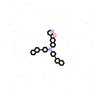 c1ccc2cc(-c3ccc(N(c4ccc(-c5ccc6ccccc6c5)cc4)c4ccc5cc6oc7ncccc7c6cc5c4)cc3)ccc2c1